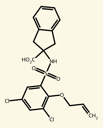 C=CCOc1c(Cl)cc(Cl)cc1S(=O)(=O)NC1(C(=O)O)Cc2ccccc2C1